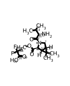 COC(=O)[C@@H]1[C@@H]2[C@H](CN1C(=O)[C@@H](N)C(C)C)C2(C)C.O=C(O)C(F)(F)F